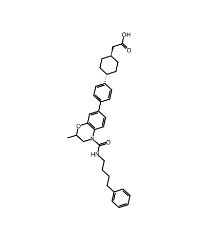 CC1CN(C(=O)NCCCCc2ccccc2)c2ccc(-c3ccc([C@H]4CC[C@H](CC(=O)O)CC4)cc3)cc2O1